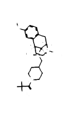 COc1ccc2c(c1)[C@@]1(C)CCN(C)[C@H](C2)[C@@H]1N(C)CC1CCN(C(=O)C(C)(C)C)CC1